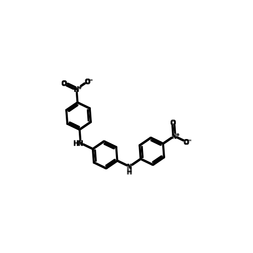 O=[N+]([O-])c1ccc(Nc2ccc(Nc3ccc([N+](=O)[O-])cc3)cc2)cc1